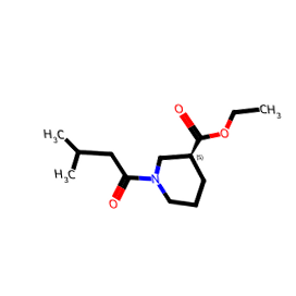 CCOC(=O)[C@H]1CCCN(C(=O)CC(C)C)C1